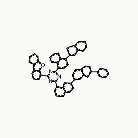 c1ccc(-c2ccc3ccc(-c4ccc5cccc(-c6nc(-c7ccc(-c8ccc9ccccc9c8)c8ccccc78)nc(-c7cccc8c7oc7ccccc78)n6)c5c4)cc3c2)cc1